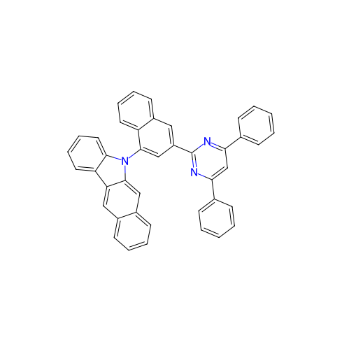 c1ccc(-c2cc(-c3ccccc3)nc(-c3cc(-n4c5ccccc5c5cc6ccccc6cc54)c4ccccc4c3)n2)cc1